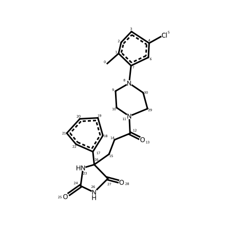 Cc1ccc(Cl)cc1N1CCN(C(=O)CCC2(c3ccccc3)NC(=O)NC2=O)CC1